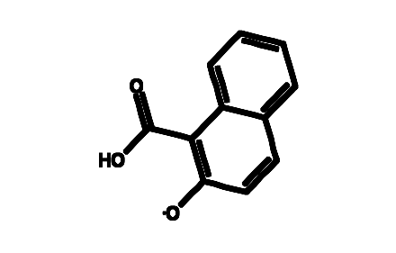 [O]c1ccc2ccccc2c1C(=O)O